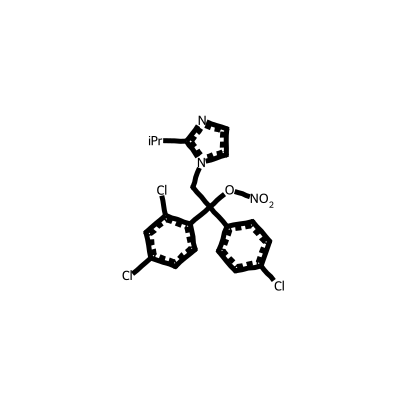 CC(C)c1nccn1CC(O[N+](=O)[O-])(c1ccc(Cl)cc1)c1ccc(Cl)cc1Cl